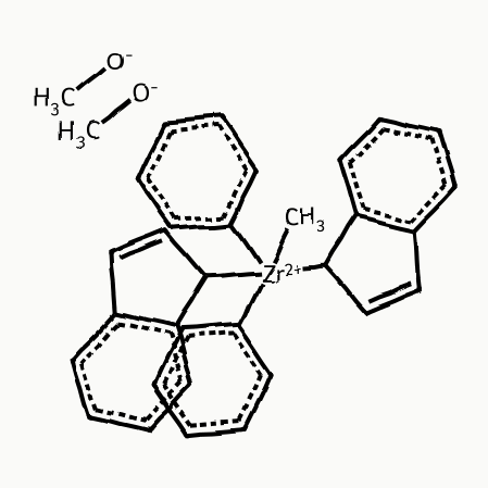 C[O-].C[O-].[CH3][Zr+2]([c]1ccccc1)([c]1ccccc1)([CH]1C=Cc2ccccc21)[CH]1C=Cc2ccccc21